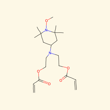 C=CC(=O)OCCN(CCOC(=O)C=C)C1CC(C)(C)N(OC)C(C)(C)C1